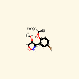 CCOC(=O)[C@H](CC)Oc1ccc(Br)cc1C1=NOCC1OCC